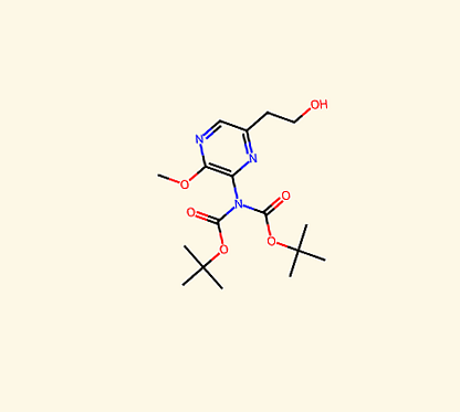 COc1ncc(CCO)nc1N(C(=O)OC(C)(C)C)C(=O)OC(C)(C)C